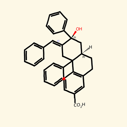 O=C(O)c1ccc2c(c1)CC[C@@H]1C[C@@](O)(c3ccccc3)/C(=C/c3ccccc3)CC21c1ccccc1